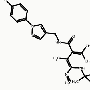 C=N/C(NC1(C)CC1)=C(\C)C(C(=O)NCc1cnn(-c2ccc(F)cc2)c1)=C(C)C